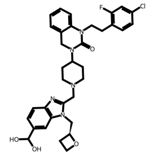 O=C1N(CCc2ccc(Cl)cc2F)c2ccccc2CN1C1CCN(Cc2nc3ccc(C(O)O)cc3n2C[C@@H]2CCO2)CC1